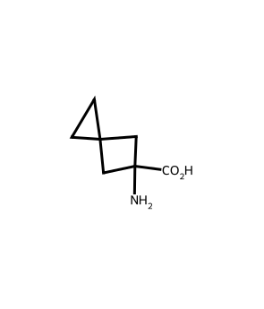 NC1(C(=O)O)CC2(CC2)C1